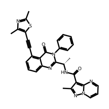 Cc1nc(C)c(C#Cc2cccc3nc([C@H](C)NC(=O)c4c(C)nn5cccnc45)n(-c4ccccc4)c(=O)c23)s1